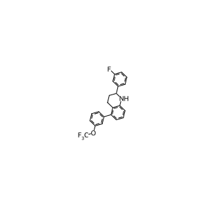 Fc1cccc(C2CCc3c(cccc3-c3cccc(OC(F)(F)F)c3)N2)c1